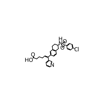 O=C(O)CCCC=C(c1cccnc1)c1ccc2c(c1)CCC(NS(=O)(=O)c1ccc(Cl)cc1)C2